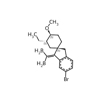 BC(B)=C1c2cc(Br)ccc2C[C@@]12CC[C@H](OC)[C@@H](CC)C2